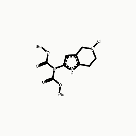 CC(C)(C)OC(=O)N(C(=O)OC(C)(C)C)c1cc2c([nH]1)CCN(Cl)C2